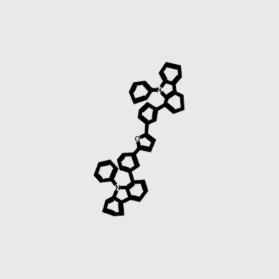 C1=C(c2cccc(-c3ccc(-c4cccc(-c5cccc6c7ccccc7n(-c7ccccc7)c56)c4)o3)c2)c2c(c3ccccc3n2-c2ccccc2)CC1